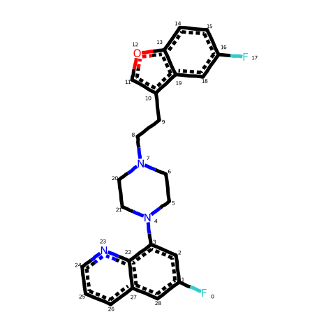 Fc1cc(N2CCN(CCc3coc4ccc(F)cc34)CC2)c2ncccc2c1